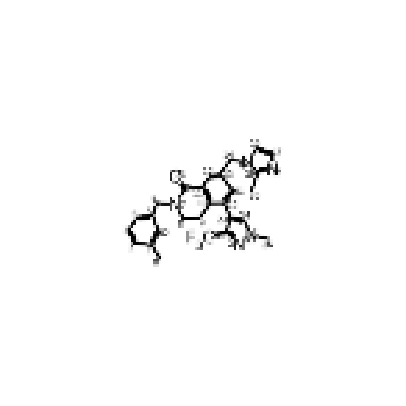 Cc1cccc(CN2CCc3c(cc(Cn4ccnc4C)cc3-c3cn(C)nc3C(F)(F)F)C2=O)c1